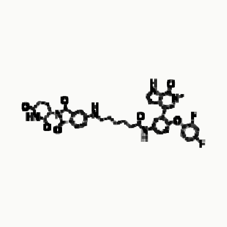 Cn1cc(-c2cc(NC(=O)CCCCCNc3ccc4c(c3)C(=O)N(C3CCC(=O)NC3=O)C4=O)ccc2Oc2ccc(F)cc2F)c2cc[nH]c2c1=O